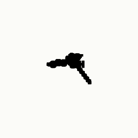 CCCCCCCCCCCCCNC(=O)OC(OC(=O)CCOCCOCCOCCC)c1ccccc1[N+](=O)[O-]